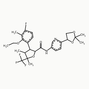 CCOc1c(C2C(C(=O)Nc3ccc(C4COC(C)(C)O4)nc3)OC(C)(C(F)(F)F)C2C)ccc(F)c1C